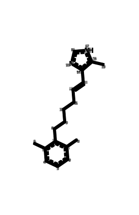 Cc1cccc(C)c1CCCCC=Cc1nc[nH]c1C